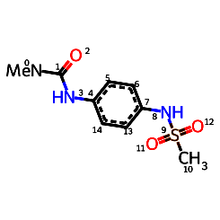 CNC(=O)Nc1ccc(NS(C)(=O)=O)cc1